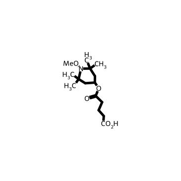 CON1C(C)(C)CC(OC(=O)CCCC(=O)O)CC1(C)C